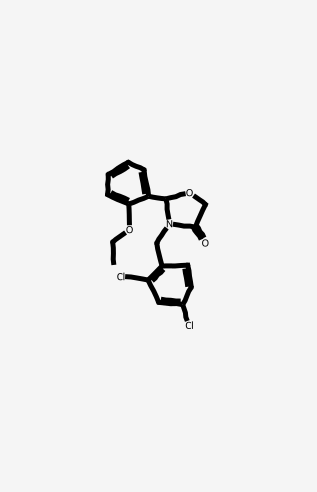 CCOc1ccccc1C1OCC(=O)N1Cc1ccc(Cl)cc1Cl